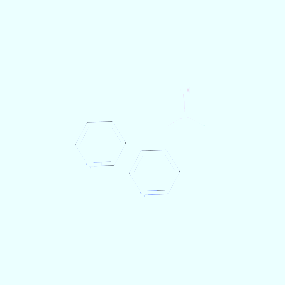 OB(O)F.c1ccncc1.c1ccncc1